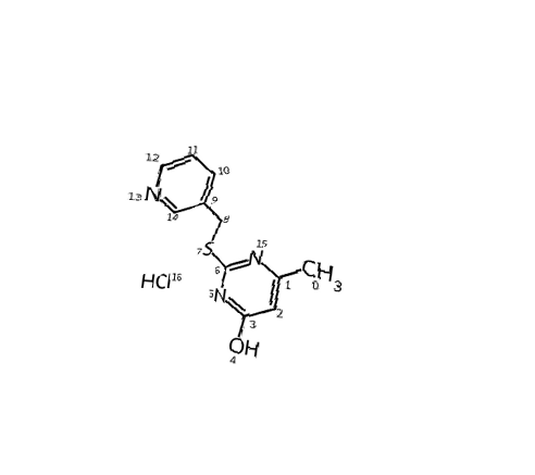 Cc1cc(O)nc(SCc2cccnc2)n1.Cl